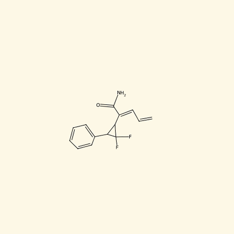 C=C/C=C(/C(N)=O)C1C(c2ccccc2)C1(F)F